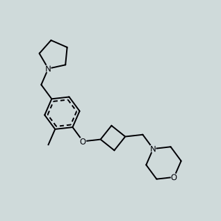 Cc1cc(CN2CCCC2)ccc1OC1CC(CN2CCOCC2)C1